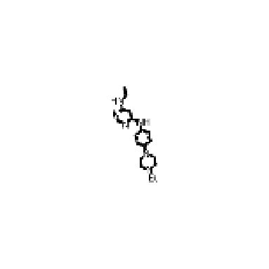 C=CNc1cc(Nc2ccc(N3CCN(CC)CC3)cc2)ncn1